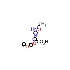 CC=CC(=O)NC1CCN(c2cnc(Oc3ccc(Oc4ccccc4)cc3)c(C(=O)O)c2)CC1